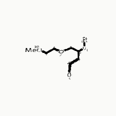 CCOC(CC[O])COCCOC